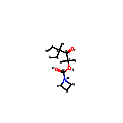 CCC(C)(CC)C(=O)C(C)(C)OC(=O)N1CCC1